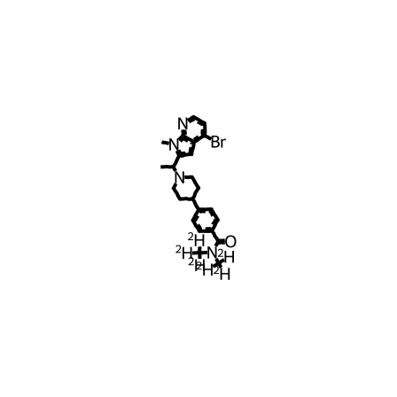 [2H]C([2H])([2H])N(C(=O)c1ccc(C2CCN(C(C)c3cc4c(Br)ccnc4n3C)CC2)cc1)C([2H])([2H])[2H]